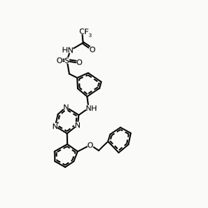 O=C(NS(=O)(=O)Cc1cccc(Nc2ncnc(-c3ccccc3OCc3ccccc3)n2)c1)C(F)(F)F